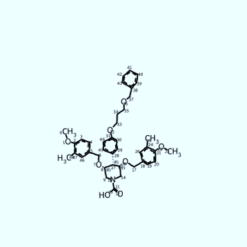 COc1ccc(CO[C@H]2CN(C(=O)O)C[C@@H](OCc3ccc(OC)c(C)c3)[C@H]2c2ccc(OCCCOCc3ccccc3)cc2)cc1C